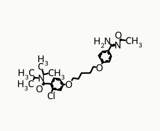 CC(=O)/N=C(\N)c1ccc(OCCCCCOc2ccc(C(=O)N(C(C)C)C(C)C)c(Cl)c2)cc1